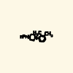 CCCN1CCN(c2cccc(C)c2C)CC1